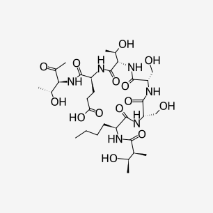 CCCC[C@H](NC(=O)[C@@H](C)[C@@H](C)O)C(=O)N[C@@H](CO)C(=O)N[C@@H](CO)C(=O)N[C@H](C(=O)N[C@@H](CCC(=O)O)C(=O)N[C@H](C(C)=O)[C@@H](C)O)[C@@H](C)O